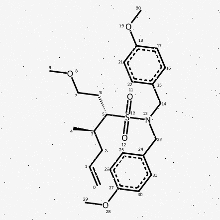 C=CC[C@@H](C)[C@H](CCOC)S(=O)(=O)N(Cc1ccc(OC)cc1)Cc1ccc(OC)cc1